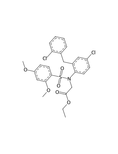 CCOC(=O)CN(c1ccc(Cl)cc1Cc1ccccc1Cl)S(=O)(=O)c1ccc(OC)cc1OC